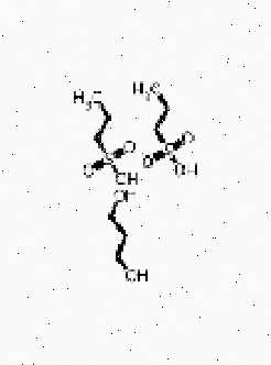 CCCS(=O)(=O)O.CCCS(=O)(=O)O.OCCCO